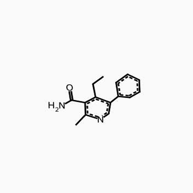 CCc1c(-c2ccccc2)cnc(C)c1C(N)=O